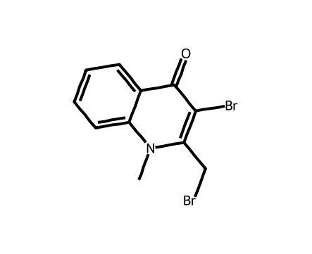 Cn1c(CBr)c(Br)c(=O)c2ccccc21